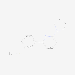 N#CSc1cccc(-c2cccc(N3CCCC3)n2)c1